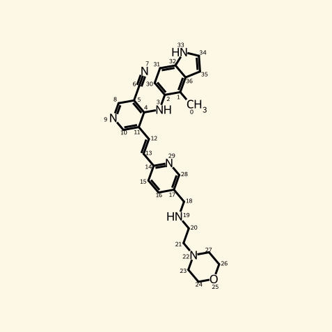 Cc1c(Nc2c(C#N)cncc2/C=C/c2ccc(CNCCN3CCOCC3)cn2)ccc2[nH]ccc12